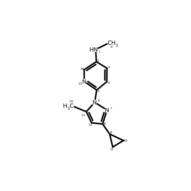 CNc1ccc(-n2nc(C3CC3)cc2C)nc1